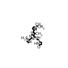 Cc1c(-c2ccn(C(C)C)n2)sc2nc(-c3nccn3C)nc(NCC[C@H]3CCC(=O)N3)c12